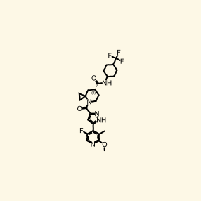 COc1ncc(F)c(-c2cc(C(=O)N3CC[C@@H](C(=O)NC4CCC(C(F)(F)F)CC4)CC34CC4)n[nH]2)c1C